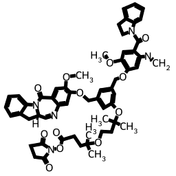 C=Nc1cc(OCc2cc(COc3cc4c(cc3OC)C(=O)N3c5ccccc5C[C@H]3C=N4)cc(OC(C)(C)CCOC(C)(C)CCC(=O)ON3C(=O)CCC3=O)c2)c(OC)cc1C(=O)N1CCc2ccccc21